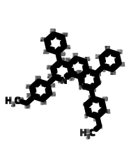 CCc1ccc(-c2cc(-c3ccccc3)c3ccc4c(-c5ccccc5)cc(-c5ccc(CC)cc5)nc4c3n2)cc1